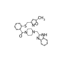 Cc1cc(CSc2ccccc2C(=O)N2CCN(Cc3nc4ccccc4[nH]3)CC2)no1